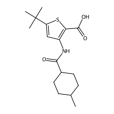 CC1CCC(C(=O)Nc2cc(C(C)(C)C)sc2C(=O)O)CC1